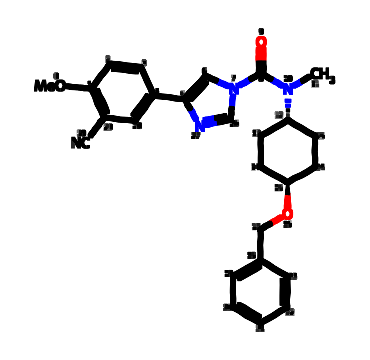 COc1ccc(-c2cn(C(=O)N(C)[C@H]3CC[C@H](OCc4ccccc4)CC3)cn2)cc1C#N